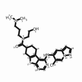 CN(C)CCCN(CCO)C(=O)C1CCc2c(sc3ncnc(Nc4cc5ccnn5cc4Cl)c23)C1